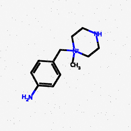 C[N+]1(Cc2ccc(N)cc2)CCNCC1